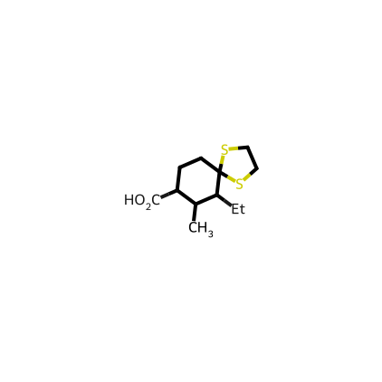 CCC1C(C)C(C(=O)O)CCC12SCCS2